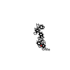 COc1cccc([C@@]2(NC(=O)[C@@H](C)N3Cc4ccc(-c5nc(NC6CCOCC6)ncc5Cl)cc4C3=O)C=CC=CC2(C)O)c1